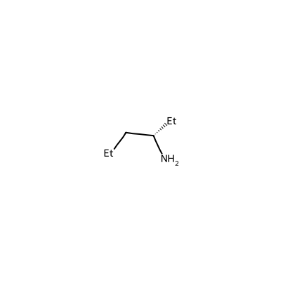 [CH2]CC[C@@H](N)C[CH2]